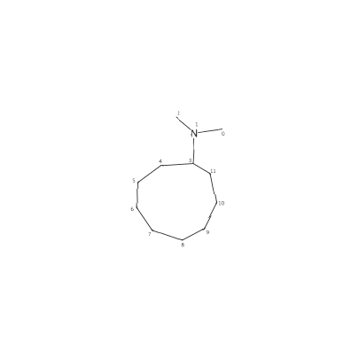 CN(C)C1CCCCCCCC1